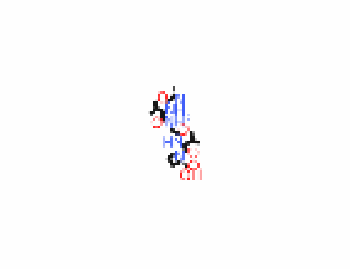 CC(C)[C@H](NC(=O)[C@H](C)N)C(=O)NCC(=O)N[C@H](C(=O)N1CCC[C@H]1C(=O)O)C(C)C